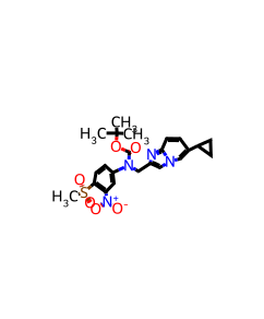 CC(C)(C)OC(=O)N(Cc1cn2cc(C3CC3)ccc2n1)c1ccc(S(C)(=O)=O)c([N+](=O)[O-])c1